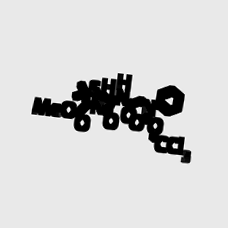 COC(=O)C1N2C(=O)C(NC(=O)CN(C(=O)OCC(Cl)(Cl)Cl)c3ccccc3)[C@H]2SC1(C)C